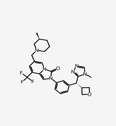 C[C@H]1CCCN(Cc2cc(C(F)(F)F)c3cn(-c4cccc([C@H](c5nncn5C)C5COC5)c4)c(=O)n3c2)C1